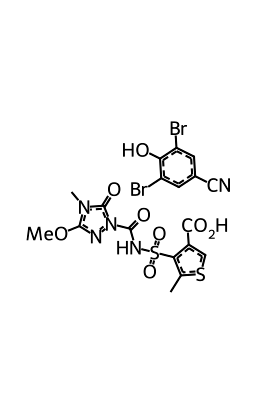 COc1nn(C(=O)NS(=O)(=O)c2c(C(=O)O)csc2C)c(=O)n1C.N#Cc1cc(Br)c(O)c(Br)c1